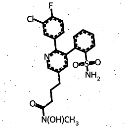 CN(O)C(=O)CCCc1cnc(-c2ccc(F)c(Cl)c2)c(-c2ccccc2S(N)(=O)=O)c1